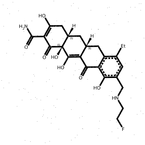 CCc1cc(CNCCF)c(O)c2c1C[C@H]1C[C@H]3CC(O)=C(C(N)=O)C(=O)[C@@]3(O)C(O)=C1C2=O